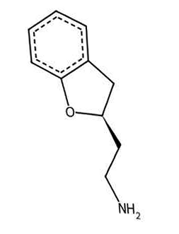 NCC[C@@H]1Cc2ccccc2O1